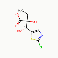 CCC(O)(C(=O)O)[C@@H](O)c1cnc(Cl)s1